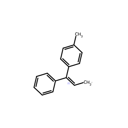 [CH2]/C=C(/c1ccccc1)c1ccc(C)cc1